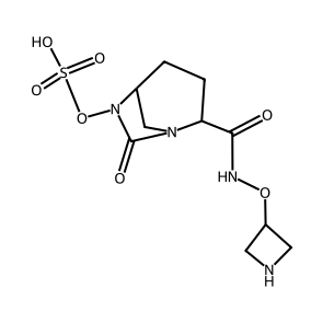 O=C(NOC1CNC1)C1CCC2CN1C(=O)N2OS(=O)(=O)O